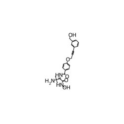 CC(C)(N)[C@H](NC(=O)c1ccc(OCC#Cc2cccc(CO)c2)cc1)C(=O)NO